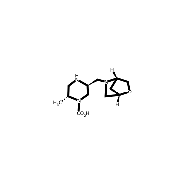 C[C@@H]1CN[C@@H](CN2C[C@@H]3C[C@H]2CO3)CN1C(=O)O